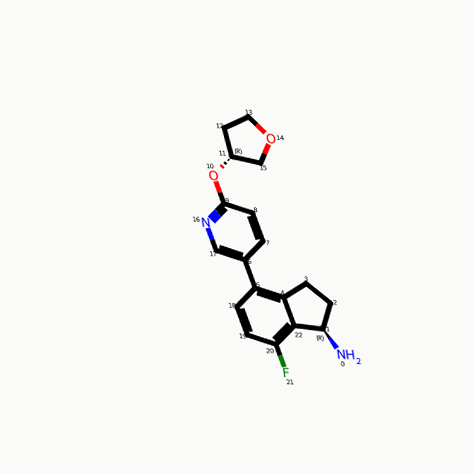 N[C@@H]1CCc2c(-c3ccc(O[C@@H]4CCOC4)nc3)ccc(F)c21